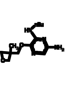 CCCCNc1nc(N)cnc1OCC1(C)COC1